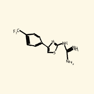 N=C(N)Nc1nc(-c2ccc(C(F)(F)F)cc2)cs1